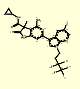 CC1(C(=O)NC2CC2)C(=O)Nc2nc(-c3nn(CCC(F)(F)C(F)(F)F)c4ncc(Cl)cc34)nc(N)c21